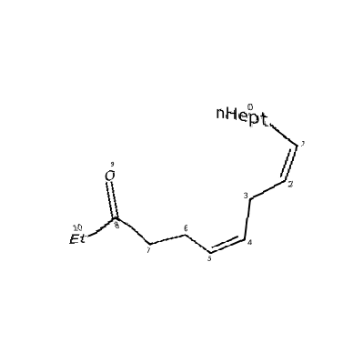 CCCCCCC/C=C\C/C=C\CCC(=O)CC